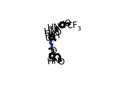 C=C1/C(=C\C=C(/C)Oc2ccnc3c2CCC(=O)N3)O[C@@H]2[C@@H](NC(=O)Nc3ccc(OC(F)(F)F)cc3)[C@H]12